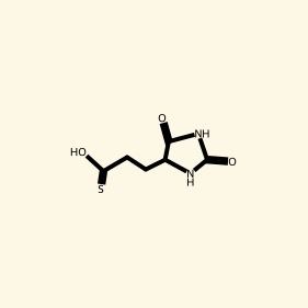 O=C1NC(=O)C(CCC(O)=S)N1